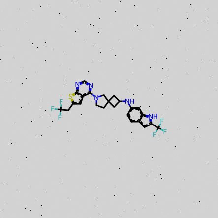 FC(F)(F)Cc1cc2c(N3CCC4(CC(Nc5ccc6cc(C(F)(F)F)[nH]c6c5)C4)C3)ncnc2s1